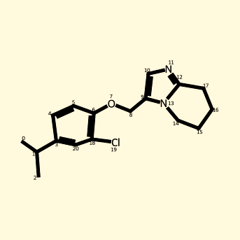 CC(C)c1ccc(OCc2cnc3n2CCCC3)c(Cl)c1